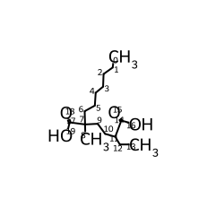 CCCCCCCC(C)(CCC(CC)C(=O)O)C(=O)O